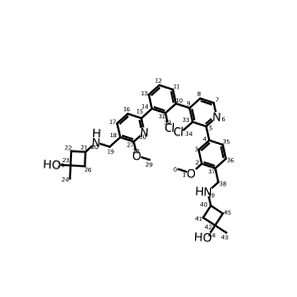 COc1cc(-c2nccc(-c3cccc(-c4ccc(CNC5CC(C)(O)C5)c(OC)n4)c3Cl)c2Cl)ccc1CNC1CC(C)(O)C1